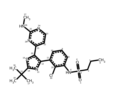 CCCS(=O)(=O)Nc1cccc(-c2nc(C(C)(C)C)sc2-c2ccnc(NC)n2)c1Cl